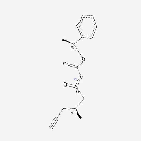 C#CC[C@H](C)C/[SH](=O)=N/C(=O)O[C@@H](C)c1ccccc1